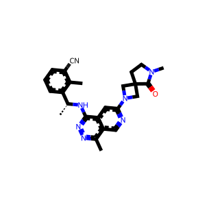 Cc1c(C#N)cccc1[C@@H](C)Nc1nnc(C)c2cnc(N3CC4(CCN(C)C4=O)C3)cc12